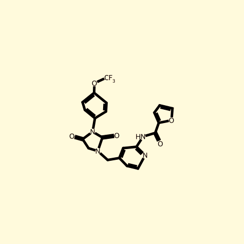 O=C(Nc1cc(CN2CC(=O)N(c3ccc(OC(F)(F)F)cc3)C2=O)ccn1)c1ccco1